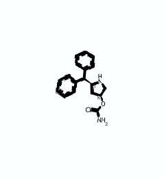 NC(=O)O[C@@H]1CN[C@H](C(c2ccccc2)c2ccccc2)C1